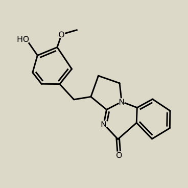 COc1cc(CC2CCn3c2nc(=O)c2ccccc23)ccc1O